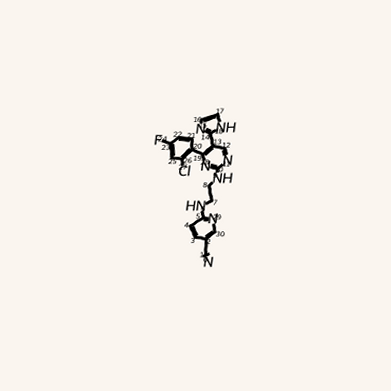 N#Cc1ccc(NCCNc2ncc(-c3ncc[nH]3)c(-c3ccc(F)cc3Cl)n2)nc1